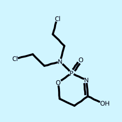 O=P1(N(CCCl)CCCl)N=C(O)CCO1